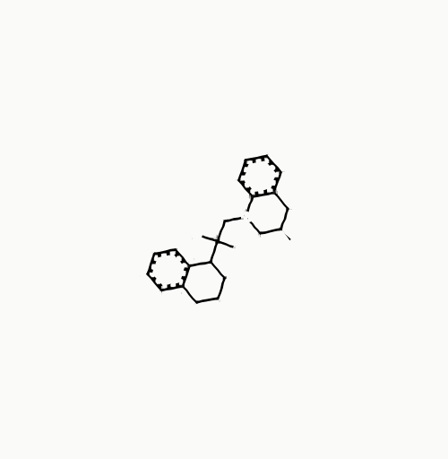 C[C@@H]1Cc2ccccc2N(CC(C)(C)C2CCCc3ccccc32)C1